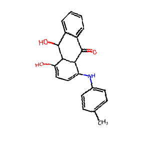 Cc1ccc(NC2=CC=C(O)C3C2C(=O)c2ccccc2C3O)cc1